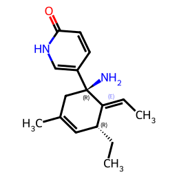 C/C=C1\[C@H](CC)C=C(C)C[C@]1(N)c1ccc(=O)[nH]c1